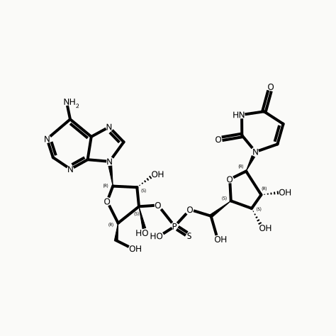 Nc1ncnc2c1ncn2[C@@H]1O[C@H](CO)[C@@](O)(OP(O)(=S)OC(O)[C@H]2O[C@@H](n3ccc(=O)[nH]c3=O)[C@H](O)[C@@H]2O)[C@H]1O